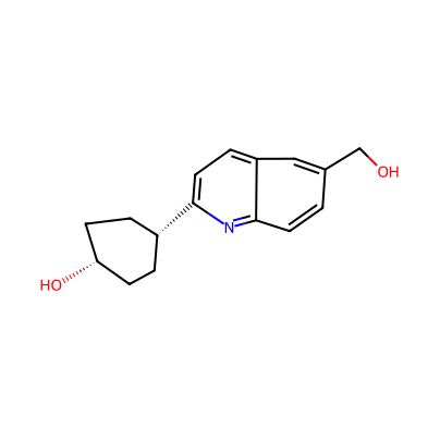 OCc1ccc2nc([C@H]3CC[C@@H](O)CC3)ccc2c1